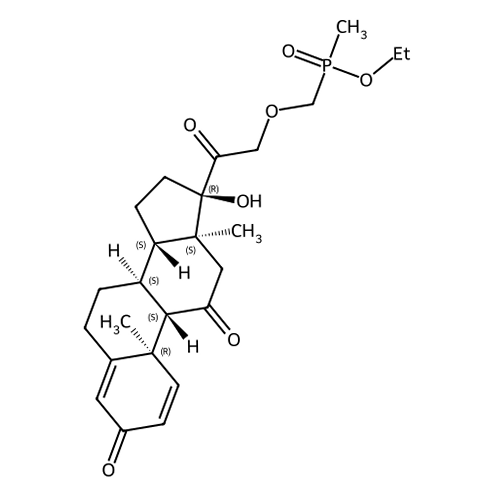 CCOP(C)(=O)COCC(=O)[C@@]1(O)CC[C@H]2[C@@H]3CCC4=CC(=O)C=C[C@]4(C)[C@H]3C(=O)C[C@@]21C